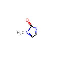 C.O=C1N=CC=N1